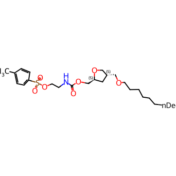 CCCCCCCCCCCCCCCCOC[C@H]1CO[C@H](COC(=O)NCCOS(=O)(=O)c2ccc(C)cc2)C1